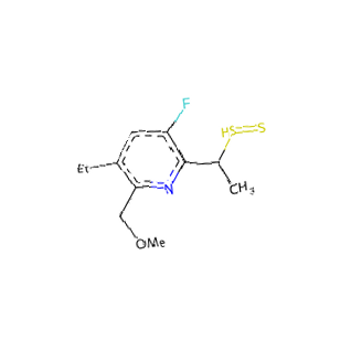 CCc1cc(F)c(C(C)[SH]=S)nc1COC